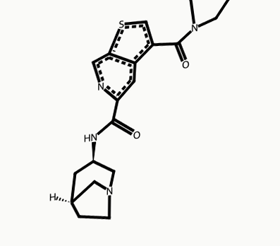 O=C(N[C@@H]1C[C@@H]2CCN(C2)C1)c1cc2c(C(=O)N3CCCC3)csc2cn1